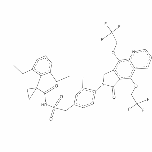 CCc1cccc(CC)c1C1(C(=O)NS(=O)(=O)Cc2ccc(N3Cc4c(c(OCC(F)(F)F)c5cccnc5c4OCC(F)(F)F)C3=O)c(C)c2)CC1